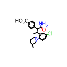 CC1CCCN(c2ccc(Cl)cc2C(C)C(C(N)=O)c2ccc(C(=O)O)cc2)C1